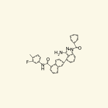 Cc1ccc(NC(=O)c2cccc3cc(-c4cccc5c4c(N)nn5C(=O)c4ccccc4)ccc23)cc1F